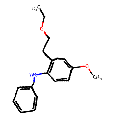 CCOCCc1cc(OC)ccc1Nc1ccccc1